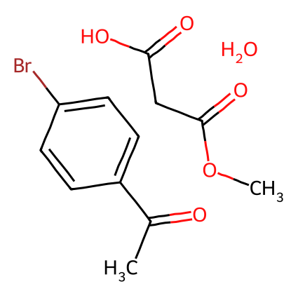 CC(=O)c1ccc(Br)cc1.COC(=O)CC(=O)O.O